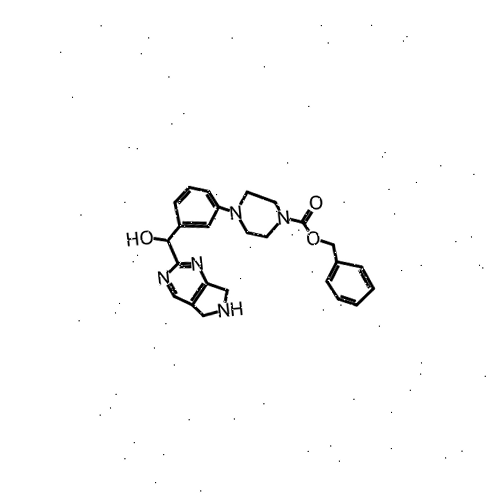 O=C(OCc1ccccc1)N1CCN(c2cccc(C(O)c3ncc4c(n3)CNC4)c2)CC1